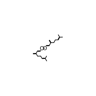 C=C(C=COOC=CC(=C)CCC=C(C)C)CCC=C(C)C